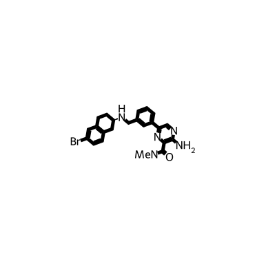 CNC(=O)c1nc(-c2cccc(CN[C@H]3CCc4cc(Br)ccc4C3)c2)cnc1N